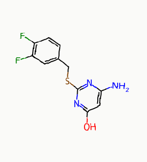 Nc1cc(O)nc(SCc2ccc(F)c(F)c2)n1